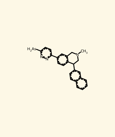 CN1Cc2cc(-c3ccc([AsH2])nn3)ccc2C(c2ccc3ccccc3c2)C1